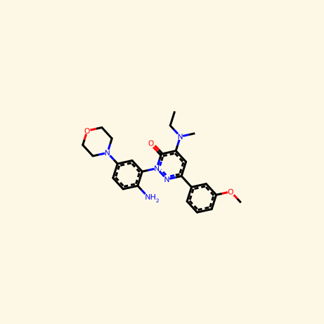 CCN(C)c1cc(-c2cccc(OC)c2)nn(-c2cc(N3CCOCC3)ccc2N)c1=O